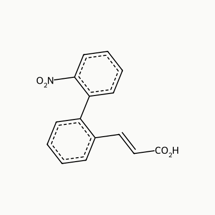 O=C(O)/C=C/c1ccccc1-c1ccccc1[N+](=O)[O-]